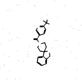 O=C(c1ccc(C(F)(F)F)nc1)N1CCC2(CC1)OCc1ccccc12